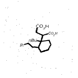 CCCCC1(C(CC(=O)O)C(=O)O)CCCCC1CCC(C)C